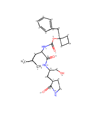 CC(C)CC(NC(=O)OC1(Cc2ccccc2)CCC1)C(=O)NC(CO)CC1CCNC1=O